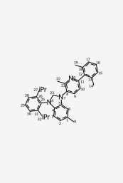 Cc1ccc2c(c1)N(c1ccc(-c3c(C)cccc3C)nc1C)CN2c1c(C(C)C)cccc1C(C)C